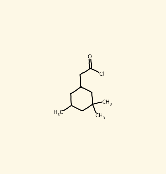 CC1CC(CC(=O)Cl)CC(C)(C)C1